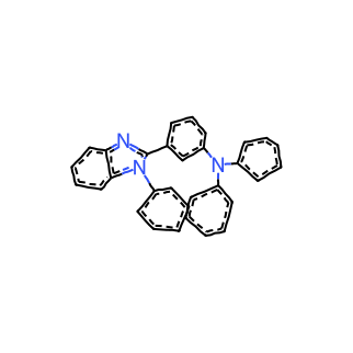 c1ccc(N(c2ccccc2)c2cccc(-c3nc4ccccc4n3-c3ccccc3)c2)cc1